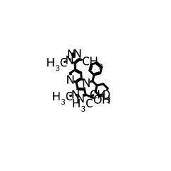 Cc1nnn(C)c1-c1cnc2c3c(c(C(C)(C)O)nn3C)n(C(c3ccccc3)C3CCOCC3)c2c1